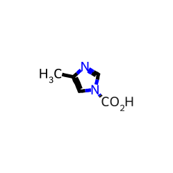 Cc1cn(C(=O)O)cn1